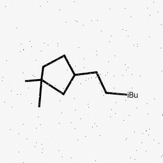 CCC(C)CCC1CCC(C)(C)C1